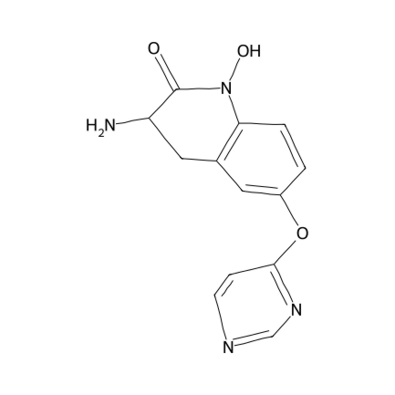 NC1Cc2cc(Oc3ccncn3)ccc2N(O)C1=O